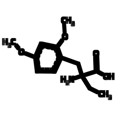 CCC(N)(Cc1ccc(OC)cc1OC)C(=O)O